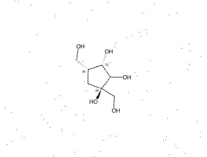 OC[C@H]1C[C@@](O)(CO)C(O)[C@H]1O